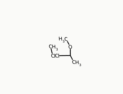 CCl.COC(C)Cl